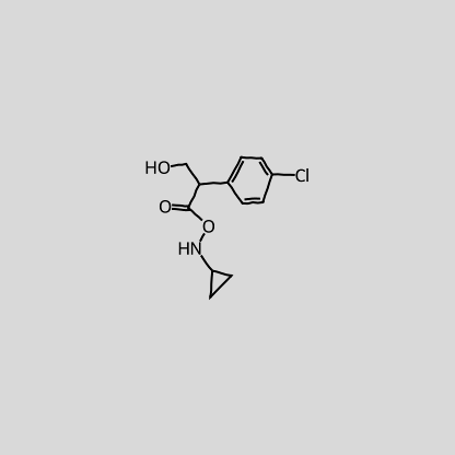 O=C(ONC1CC1)C(CO)c1ccc(Cl)cc1